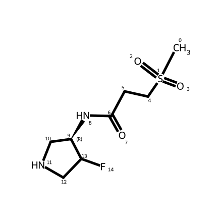 CS(=O)(=O)CCC(=O)N[C@@H]1CNCC1F